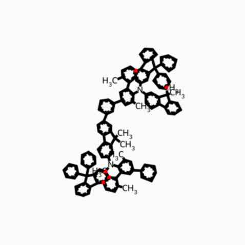 Cc1ccccc1-c1cc(-c2cccc(-c3ccc4c(c3)C(C)(C)c3cc(N(c5ccc6c(c5)C(c5ccccc5)(c5ccccc5)c5ccccc5-6)c5c(C)cc(-c6ccccc6)cc5-c5c(C)cccc5C)ccc3-4)c2)cc(C)c1N(c1ccc2c(c1)C(C)(C)c1ccccc1-2)c1ccc2c(c1)C(c1ccccc1)(c1ccccc1)c1ccccc1-2